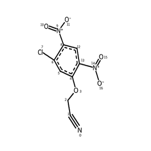 N#CCOc1cc(Cl)c([N+](=O)[O-])cc1[N+](=O)[O-]